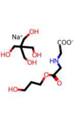 O=C([O-])CNCC(=O)OCCCO.OCC(CO)(CO)CO.[Na+]